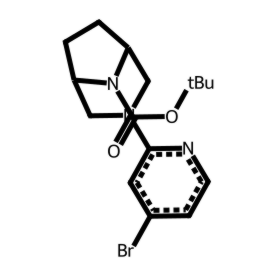 CC(C)(C)OC(=O)N1C2CCC1CN(c1cc(Br)ccn1)C2